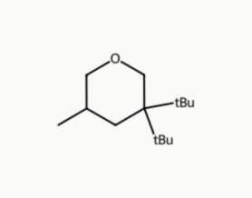 CC1COCC(C(C)(C)C)(C(C)(C)C)C1